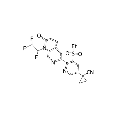 CCS(=O)(=O)c1cc(C2(C#N)CC2)cnc1-c1cc2ccc(=O)n(C(F)C(F)F)c2cn1